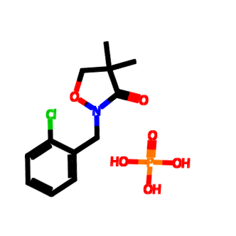 CC1(C)CON(Cc2ccccc2Cl)C1=O.O=P(O)(O)O